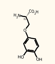 N[C@@H](COc1ccc(O)c(O)c1)C(=O)O